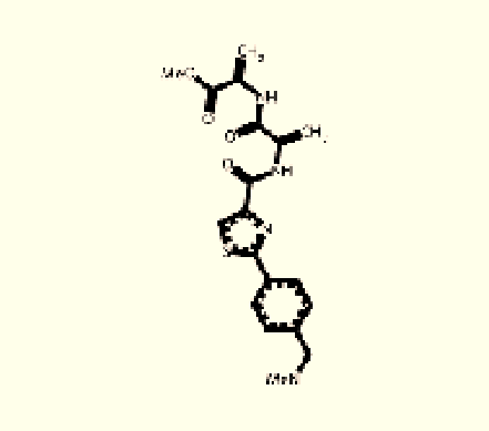 C=C(NC(=O)c1csc(-c2ccc(CNC)cc2)n1)C(=O)NC(=C)C(=O)OC